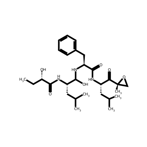 CC[C@H](O)C(=O)N[C@@H](CC(C)C)C(O)N[C@@H](Cc1ccccc1)C(=O)N[C@@H](CC(C)C)C(=O)[C@@]1(C)CO1